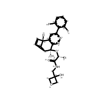 CC[C@@H](O[C@]1(C)c2nnc(-c3c(F)cccc3F)cc2[C@H]2C=C3C2C31)C(=O)NCC1(O)COC1